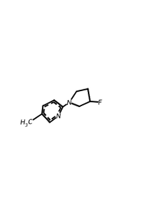 Cc1ccc(N2CCC(F)C2)nc1